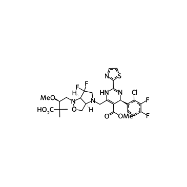 COC(=O)C1=C(CN2CC(F)(F)[C@H]3[C@@H]2CON3C[C@H](OC)C(C)(C)C(=O)O)NC(c2nccs2)=N[C@H]1c1ccc(F)c(F)c1Cl